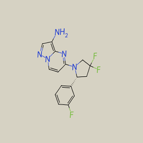 Nc1cnn2ccc(N3CC(F)(F)C[C@@H]3c3cccc(F)c3)nc12